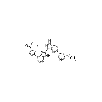 COc1cncc(-c2ccc3[nH]nc(-c4nc5c(-c6ccc(C(C)=O)s6)ccnc5[nH]4)c3n2)c1